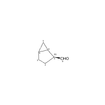 O=C[C@H]1CCC2CC21